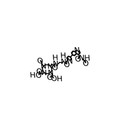 O=CCNC(=O)c1ccnc2ccc(-c3ccc(C(=O)NCCCNC(=O)CN4CCN(CC=O)CCN(CC(=O)O)CCN(CC(=O)O)CC4)nc3)cc12